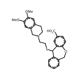 COc1cc2c(cc1OC)CN(CCSC1c3ccccc3COc3ccc(C(=O)O)cc31)CC2